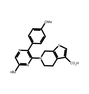 CCCCc1cnc(-c2ccc(OC)cc2)c(N2CCc3c(C(=O)O)csc3C2)n1